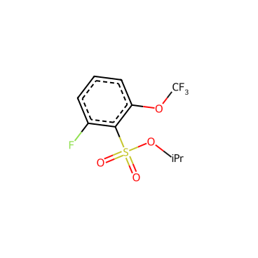 CC(C)OS(=O)(=O)c1c(F)cccc1OC(F)(F)F